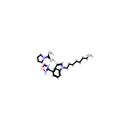 C=C(C)N1CCC[C@H]1c1nc(-c2cccc3c2ccn3CCCCCCCC)no1